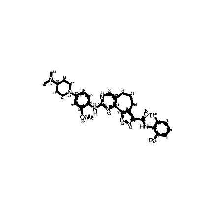 CCc1cccc(CC)c1NC(=O)c1noc2c1CCCc1cnc(Nc3ccc(N4CCC(N(C)C)CC4)cc3OC)nc1-2